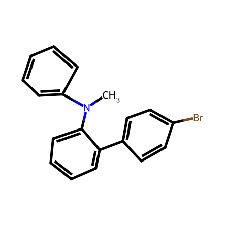 CN(c1ccccc1)c1ccccc1-c1ccc(Br)cc1